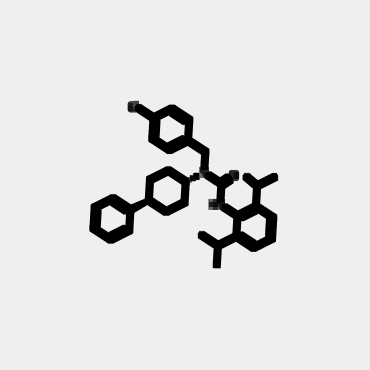 CC(C)c1cccc(C(C)C)c1NC(=O)N(Cc1ccc(Cl)cc1)[C@H]1CC[C@H](c2ccccc2)CC1